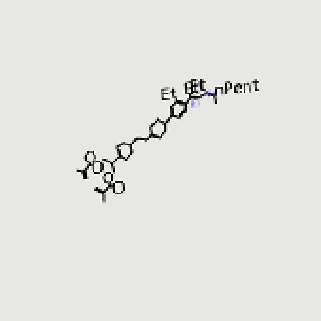 C=C(C)C(=O)OCC(COC(=O)C(=C)C)C1CCC(CCC2CCC(c3ccc(/C(=C/C(CC)=C(\C)CCCCC)CC)c(CC)c3)CC2)CC1